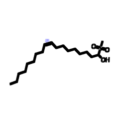 CCCCCCCC/C=C\CCCCCCCC(O)S(C)(=O)=O